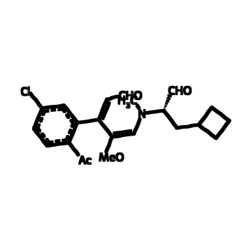 COC(=C/N(C)[C@H](C=O)CC1CCC1)/C(=C\C=O)c1cc(Cl)ccc1C(C)=O